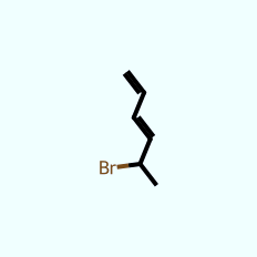 C=CC=CC(C)Br